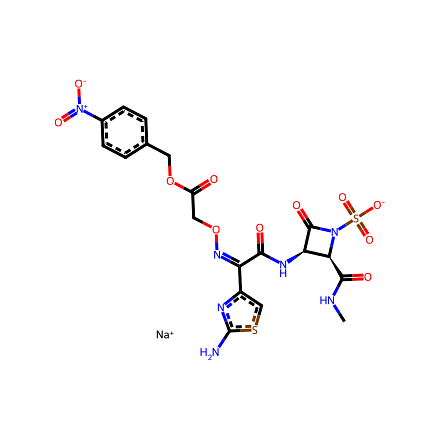 CNC(=O)[C@H]1[C@@H](NC(=O)/C(=N\OCC(=O)OCc2ccc([N+](=O)[O-])cc2)c2csc(N)n2)C(=O)N1S(=O)(=O)[O-].[Na+]